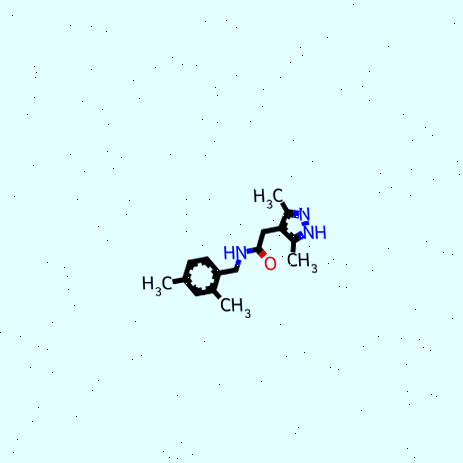 Cc1ccc(CNC(=O)Cc2c(C)n[nH]c2C)c(C)c1